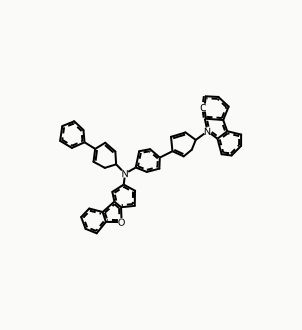 C1=CC(N(c2ccc(C3=CCC(n4c5ccccc5c5ccccc54)C=C3)cc2)c2ccc3oc4ccccc4c3c2)CC=C1c1ccccc1